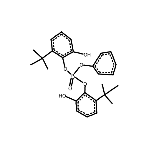 CC(C)(C)c1cccc(O)c1OP(=O)(Oc1ccccc1)Oc1c(O)cccc1C(C)(C)C